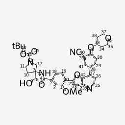 COc1cc(C(=O)NC2(CO)CCN(C(=O)OC(C)(C)C)C2)ccc1-c1cc2nccc(-c3ccc(OC4CCOCC4)c(C#N)c3)c2o1